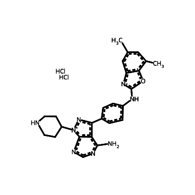 Cc1cc(C)c2oc(Nc3ccc(-c4nn(C5CCNCC5)c5ncnc(N)c45)cc3)nc2c1.Cl.Cl